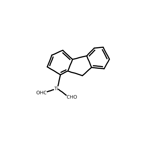 O=[CH][Ti]([CH]=O)[c]1cccc2c1Cc1ccccc1-2